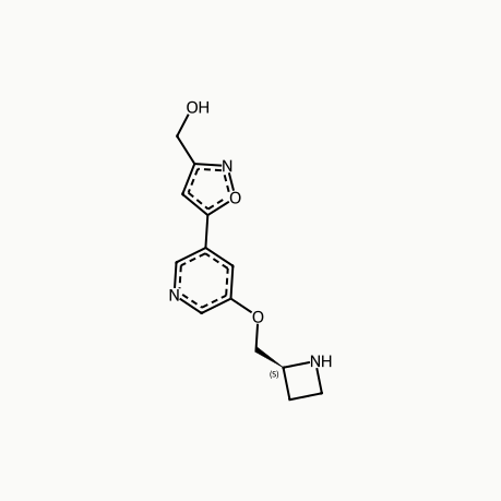 OCc1cc(-c2cncc(OC[C@@H]3CCN3)c2)on1